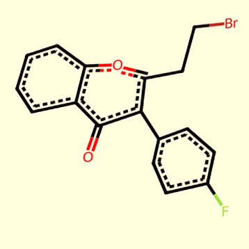 O=c1c(-c2ccc(F)cc2)c(CCBr)oc2ccccc12